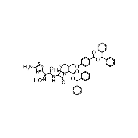 Nc1nc(C(=NO)C(=O)NC2C(=O)N3C(C(=O)OC(c4ccccc4)c4ccccc4)=C(COc4ccc(C(=O)OC(c5ccccc5)c5ccccc5)cc4)CS[C@@H]23)cs1